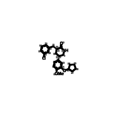 COc1ccc([C@H]2CNC(=O)[C@H](Cc3cccc(Cl)c3)C2)cc1OC1CCCC1